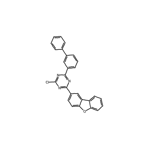 Clc1nc(-c2cccc(-c3ccccc3)c2)nc(-c2ccc3oc4ccccc4c3c2)n1